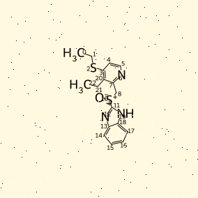 CCSc1ccnc(C[S+]([O-])c2nc3ccccc3[nH]2)c1CC